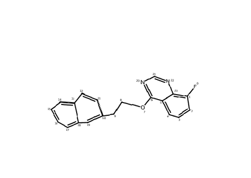 Fc1cccc2c(OCCc3ccc4ccccc4c3)ncnc12